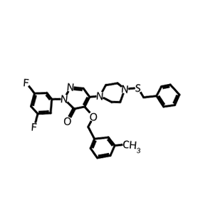 Cc1cccc(COc2c(N3CCN(SCc4ccccc4)CC3)cnn(-c3cc(F)cc(F)c3)c2=O)c1